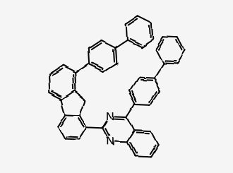 c1ccc(-c2ccc(-c3cccc4c3Cc3c(-c5nc(-c6ccc(-c7ccccc7)cc6)c6ccccc6n5)cccc3-4)cc2)cc1